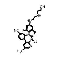 CCN1C(=O)N(c2c(F)cc(NCCNCCO)cc2F)c2cc(C#N)ccc2-c2cc(C)cnc21